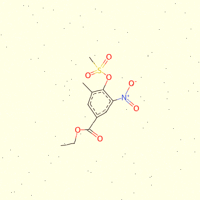 CCOC(=O)c1cc(C)c(OS(C)(=O)=O)c([N+](=O)[O-])c1